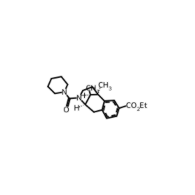 CCOC(=O)c1ccc2c(c1)[C@]1(C)CCN(C(=O)N3CCCCC3)[C@H](C2)[C@H]1C